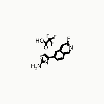 Nc1nc(-c2ccc3cnc(F)cc3c2)cs1.O=C(O)C(F)(F)F